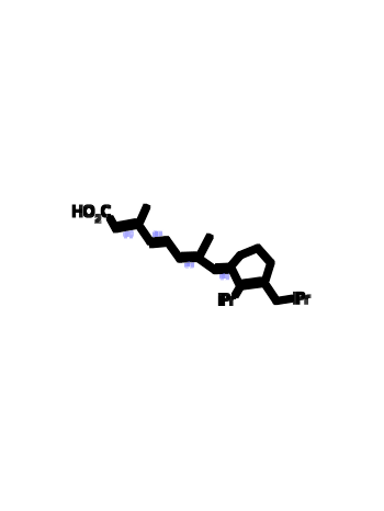 CC(=C\C=C\C(C)=C\C(=O)O)/C=C1\CCCC(CC(C)C)=C1C(C)C